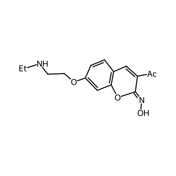 CCNCCOc1ccc2cc(C(C)=O)c(=NO)oc2c1